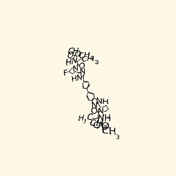 COC(=O)NC(C(=O)N1CC(F)CC1c1ncc(-c2ccc(-c3ccc4nc(C5CCCN5C(=O)C(NC(=O)OC)C(C)C)[nH]c4c3)cc2)[nH]1)C(C)C